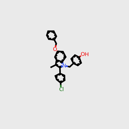 Cc1c(-c2ccc(Cl)cc2)n(Cc2ccc(O)cc2)c2ccc(OCc3ccccc3)cc12